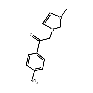 CN1C=CN(CC(=O)c2ccc([N+](=O)[O-])cc2)C1